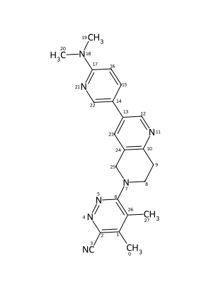 Cc1c(C#N)nnc(N2CCc3ncc(-c4ccc(N(C)C)nc4)cc3C2)c1C